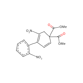 COC(=O)C1(C(=O)OC)C=CC(c2ccccc2[N+](=O)[O-])=C([N+](=O)[O-])C1